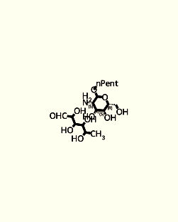 CC(O)C(O)C(O)C(O)C=O.CCCCCOC1O[C@H](CO)[C@@H](O)[C@H](O)[C@@H]1N